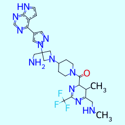 CNCC1=NC(C(F)(F)F)=NC(C(=O)N2CCC(N3CC(CN)(n4cc(-c5ncnc6[nH]ccc56)cn4)C3)CC2)C1C